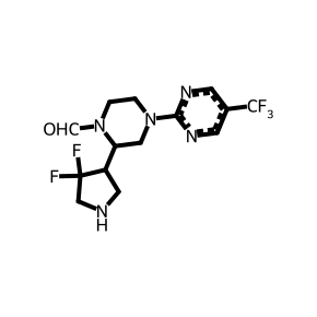 O=CN1CCN(c2ncc(C(F)(F)F)cn2)CC1C1CNCC1(F)F